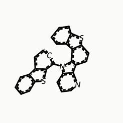 c1ccc2c(c1)sc1c(-n3c4cccnc4c4ccc5sc6ccccc6c5c43)cccc12